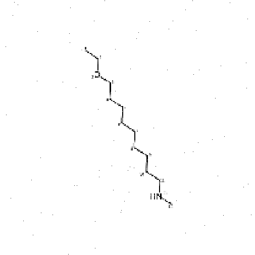 [CH2]COCCCCCCCCCNC